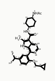 CC(=O)N[C@H]1CC[C@@H](NC(=O)c2c(C)[nH]c3c(-c4cc(C(F)F)ccc4OCC4CC4)ncnc23)CC1